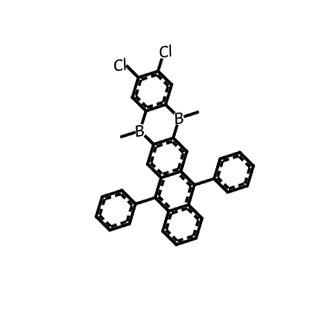 CB1c2cc(Cl)c(Cl)cc2B(C)c2cc3c(-c4ccccc4)c4ccccc4c(-c4ccccc4)c3cc21